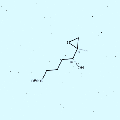 CCCCCCCC[C@@H](O)[C@]1(C)CO1